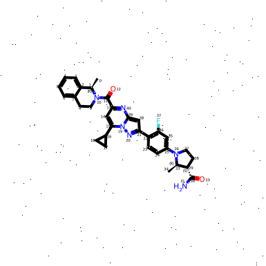 C[C@@H]1c2ccccc2CCN1C(=O)c1cc(C2CC2)n2nc(-c3ccc(N4CC[C@H](C(N)=O)[C@H]4C)cc3F)cc2n1